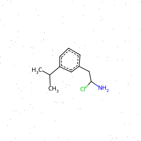 CC(C)c1cccc(CC(N)Cl)c1